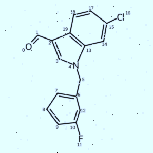 O=Cc1cn(Cc2cccc(F)c2)c2cc(Cl)ccc12